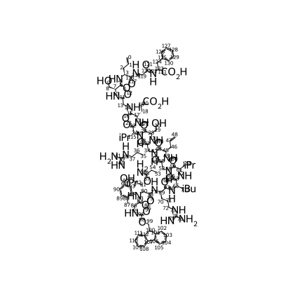 C=CC[C@H](NC(=O)[C@H](CO)NC(=O)CNC(=O)[C@H](CCC(=O)O)NC(=O)[C@H](NC(=O)[C@@H](CO)NC(=O)[C@@H](CCCNC(=N)N)NC(=O)[C@@H](CC=C)NC(=O)[C@@H](CCC(N)=O)NC(=O)[C@H](NC(=O)[C@H](NC(=O)[C@@H](CCCNC(=N)N)NC(=O)[C@@H](CC(C)C)NC(=O)[C@@H](Cc1ccc(O)cc1)NC(=O)OCC1c2ccccc2-c2ccccc21)C(C)CC)C(C)C)C(C)C)C(=O)NCC(=O)N[C@@H](Cc1ccccc1)C(=O)O